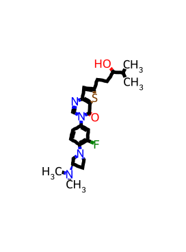 CC(C)C(O)CCc1cc2ncn(-c3ccc(N4CC[C@@H](N(C)C)C4)c(F)c3)c(=O)c2s1